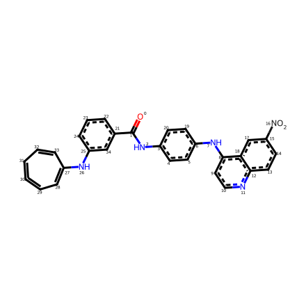 O=C(Nc1ccc(Nc2ccnc3ccc([N+](=O)[O-])cc23)cc1)c1cccc(NC2=CC=C=CC=C2)c1